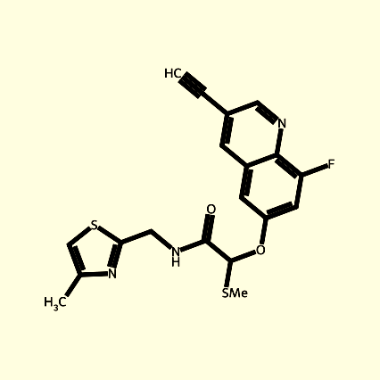 C#Cc1cnc2c(F)cc(OC(SC)C(=O)NCc3nc(C)cs3)cc2c1